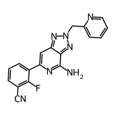 N#Cc1cccc(-c2cc3nn(Cc4ccccn4)nc3c(N)n2)c1F